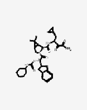 CC1(C)C2CN(C(=O)[C@@H](NC(=O)NC3CCCCC3)C3Cc4ccccc4C3)[C@H](C(=O)NC(CC3CC3)C(=O)C(N)=O)C21